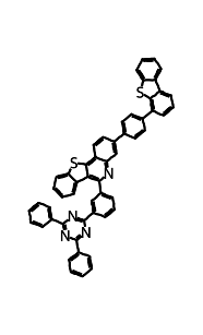 c1ccc(-c2nc(-c3ccccc3)nc(-c3cccc(-c4nc5cc(-c6ccc(-c7cccc8c7sc7ccccc78)cc6)ccc5c5sc6ccccc6c45)c3)n2)cc1